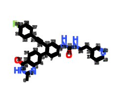 Cc1nc2cc(-c3ccc(NC(=O)NCCc4cccnc4)cc3C#Cc3ccc(F)cc3)ccc2c(=O)[nH]1